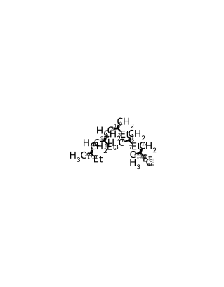 C=C(C)CC.C=C(C)CC.C=C(C)CC.C=C(C)CC.C=C(C)CC.[C]